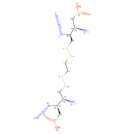 [N-]=[N+]=N[C@H](CSSCCSSC[C@@H](N)[C@@H](CS(=O)O)N=[N+]=[N-])[C@H](N)CS(=O)O